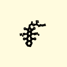 CCCCCC(CC)OC(C)Cn1c(=O)c2c(N)c3c(=O)c4ccccc4c(=O)c3c(N)c2c1=O